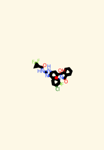 O=C(Nc1nc2ccc(C3(O)c4ccccc4C(=O)N3c3cccc(Cl)c3F)cc2[nH]1)C1CC1(F)F